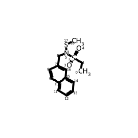 CCS(=O)(=O)N(Cc1ccc2ccccc2c1)SC